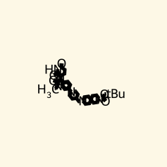 Cn1c(=O)n(C2CCC(=O)NC2=O)c2ccc(N3CCC(CN4CCC5(CC4)CCN(C(=O)OC(C)(C)C)CC5)CC3)cc21